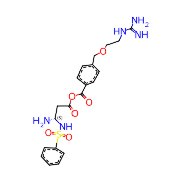 N=C(N)NCCOCc1ccc(C(=O)OC(=O)C[C@@H](N)NS(=O)(=O)c2ccccc2)cc1